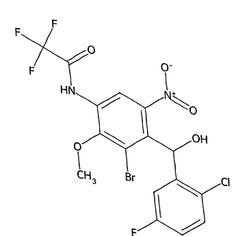 COc1c(NC(=O)C(F)(F)F)cc([N+](=O)[O-])c(C(O)c2cc(F)ccc2Cl)c1Br